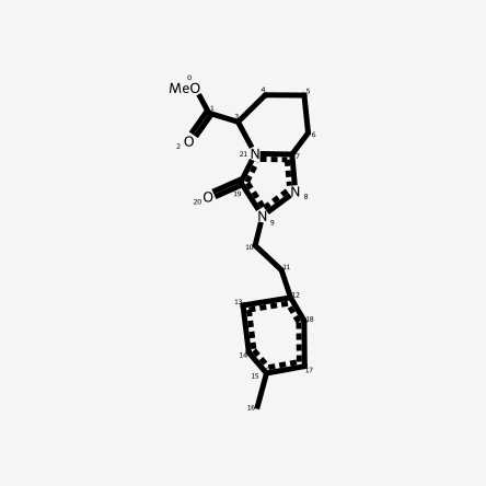 COC(=O)C1CCCc2nn(CCc3ccc(C)cc3)c(=O)n21